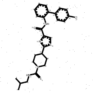 CC(C)CNC(=S)N1CCC(c2nc(C(=O)Nc3ccccc3-c3ccc(Cl)cc3)cs2)CC1